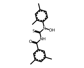 Cc1cc(C)cc(C(=O)NC(=S)N(O)c2ccc(C)cc2C)c1